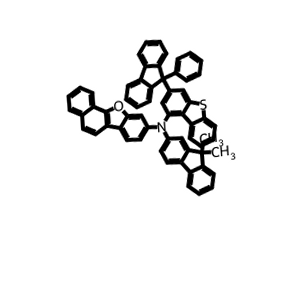 CC1(C)c2ccccc2-c2ccc(N(c3ccc4c(c3)oc3c5ccccc5ccc43)c3cc(C4(c5ccccc5)c5ccccc5-c5ccccc54)cc4sc5ccccc5c34)cc21